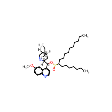 CCCCCCCCCCC(CCCCCCC)S(=O)O[C@@H](c1ccnc2ccc(OC)cc12)[C@H]1C[C@@H]2CCN1C[C@@H]2CC